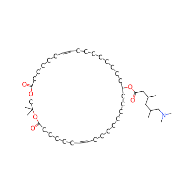 CC(CC(=O)OC1CCCCCCCC/C=C\CCCCCC(=O)OCC(C)(C)OC(=O)CCCCC/C=C\CCCCCCCC1)CC(C)CN(C)C